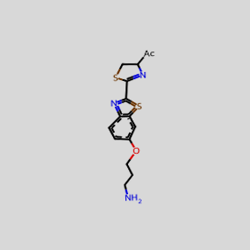 CC(=O)C1CSC(c2nc3ccc(OCCCN)cc3s2)=N1